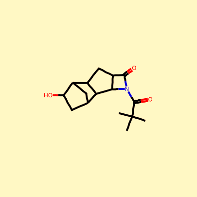 CC(C)(C)C(=O)N1C(=O)C2CC3C4CC(CC4O)C3C21